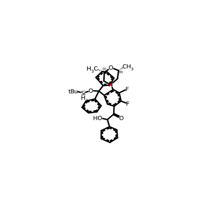 C[C@@H]1CN(c2c(C(O[SiH2]C(C)(C)C)(c3ccccc3)c3ccccc3)cc(C(=O)C(O)c3ccccc3)c(F)c2F)C[C@H](C)O1